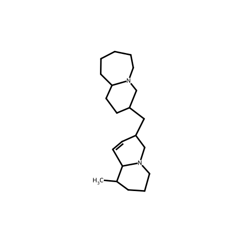 CC1CCCN2CC(CC3CCC4CCCCCN4C3)C=CC12